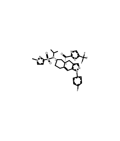 CC(C)N([C@H]1CCC2=Cc3c(cnn3-c3ccc(F)cc3)C[C@]2(C(=O)c2ncc(C(F)(F)F)s2)C1)S(=O)(=O)c1ccn(C)n1